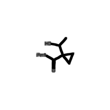 CCCC(C)C(=O)C1(C(C)O)CC1